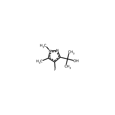 Cc1c(F)c(C(C)(C)O)nn1C